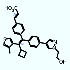 Cc1cscc1/C(=C(\c1ccc(/C=C/C(=O)O)cc1)c1ccc(-c2cnn(CCO)c2)cc1)C1CCC1